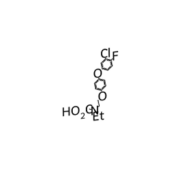 CCN(CCOc1ccc(Oc2ccc(F)c(Cl)c2)cc1)C(=O)O